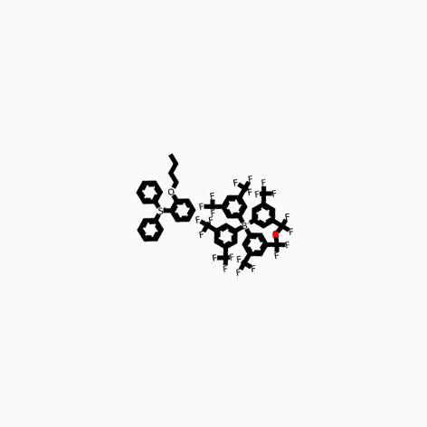 CCCCOc1ccccc1[S+](c1ccccc1)c1ccccc1.FC(F)(F)c1cc([B-](c2cc(C(F)(F)F)cc(C(F)(F)F)c2)(c2cc(C(F)(F)F)cc(C(F)(F)F)c2)c2cc(C(F)(F)F)cc(C(F)(F)F)c2)cc(C(F)(F)F)c1